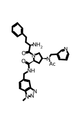 CC(=O)N(Cc1cccnc1)[C@H]1C[C@@H](C(=O)NCc2ccc3c(c2)nnn3C)N(C(=O)[C@H](N)CCc2ccccc2)C1